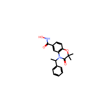 CC(c1ccccc1)N1C(=O)C(C)(C)Oc2ccc(C(=O)NO)cc21